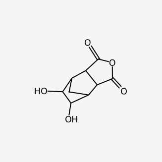 O=C1OC(=O)C2C3CC(C(O)C3O)C12